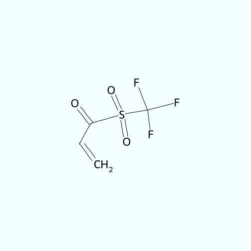 C=CC(=O)S(=O)(=O)C(F)(F)F